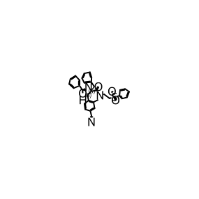 N#Cc1ccc2c(c1)CN(CCS(=O)(=O)c1ccccc1)C(=O)[C@@]1(Cc3ccccc3)N=C(c3ccccc3)O[C@@H]21